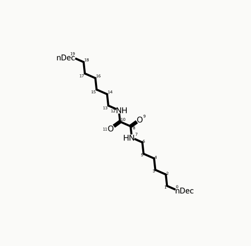 CCCCCCCCCCCCCCCCNC(=O)C(=O)NCCCCCCCCCCCCCCCC